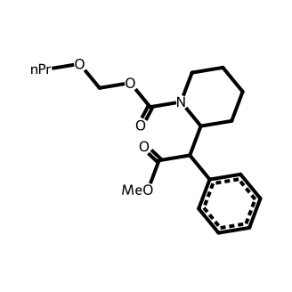 CCCOCOC(=O)N1CCCCC1C(C(=O)OC)c1ccccc1